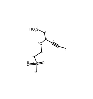 CC#CC(CS(=O)(=O)O)OCCS(C)(=O)=O